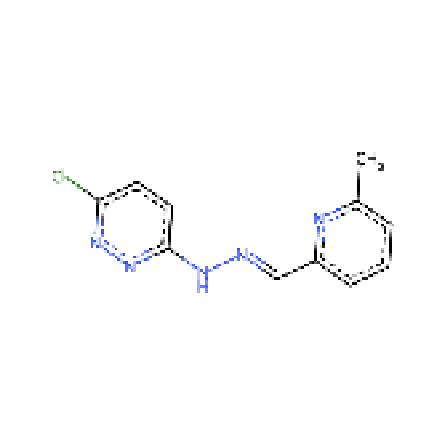 Cc1cccc(C=NNc2ccc(Cl)nn2)n1